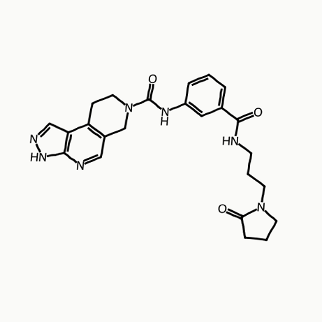 O=C(NCCCN1CCCC1=O)c1cccc(NC(=O)N2CCc3c(cnc4[nH]ncc34)C2)c1